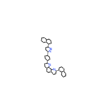 c1ccc2c(-c3ccc(-c4ccc(-c5ccc6ccc7ccc(-c8cccc9ccccc89)nc7c6n5)cc4)nn3)cccc2c1